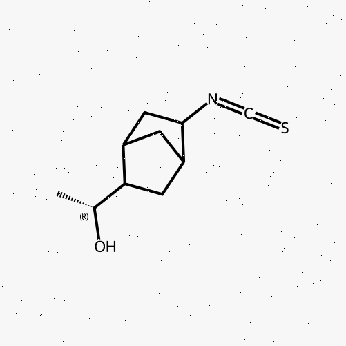 C[C@@H](O)C1CC2CC1CC2N=C=S